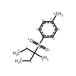 CCC(C)(CC)S(=O)(=O)c1ccc(C)cc1